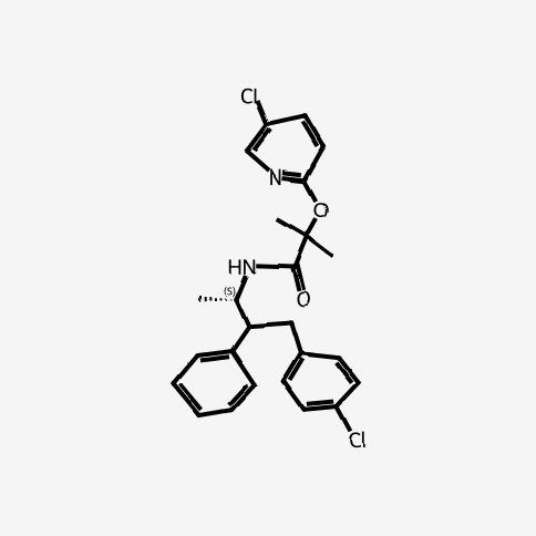 C[C@H](NC(=O)C(C)(C)Oc1ccc(Cl)cn1)C(Cc1ccc(Cl)cc1)c1ccccc1